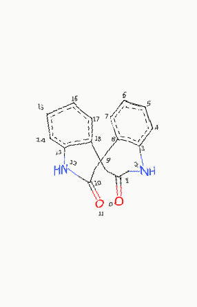 O=C1Nc2ccccc2C12C(=O)Nc1ccccc12